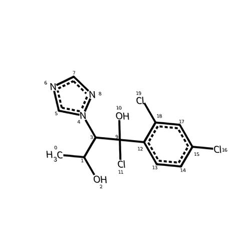 CC(O)C(n1cncn1)C(O)(Cl)c1ccc(Cl)cc1Cl